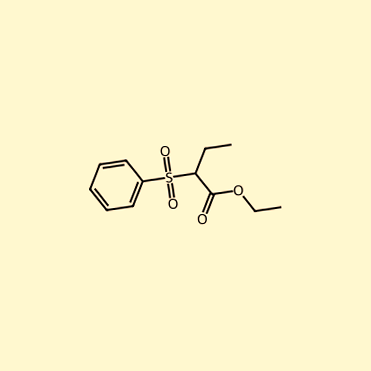 CCOC(=O)C(CC)S(=O)(=O)c1ccccc1